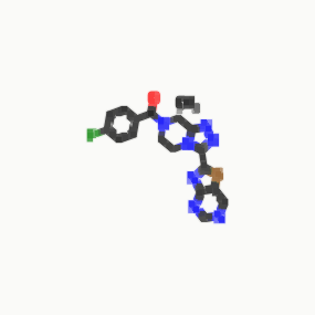 C[C@@H]1c2nnc(-c3nc4ncncc4s3)n2CCN1C(=O)c1ccc(F)cc1